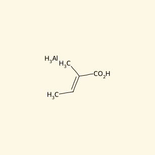 CC=C(C)C(=O)O.[AlH3]